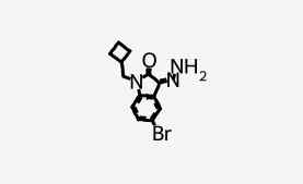 N/N=C1\C(=O)N(CC2CCC2)c2ccc(Br)cc21